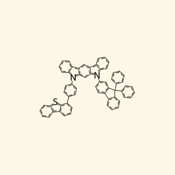 c1ccc(C2(c3ccccc3)c3ccccc3-c3ccc(-n4c5ccccc5c5cc6c7ccccc7n(-c7ccc(-c8cccc9c8sc8ccccc89)cc7)c6cc54)cc32)cc1